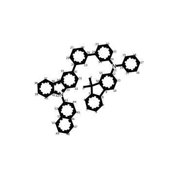 CC1(C)c2ccccc2-c2ccc(N(c3ccccc3)c3cccc(-c4cccc(-c5ccc6c(c5)c5ccccc5n6-c5ccc6ccccc6c5)c4)c3)cc21